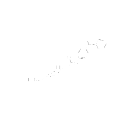 NCCNCCNCC(=O)Oc1ccc(C(=O)c2ccccc2)cc1